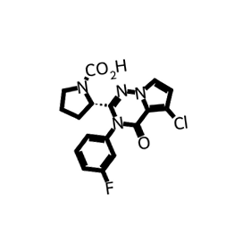 O=C(O)N1CCC[C@H]1c1nn2ccc(Cl)c2c(=O)n1-c1cccc(F)c1